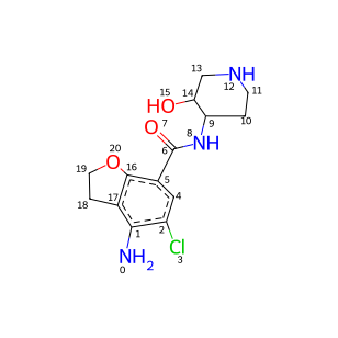 Nc1c(Cl)cc(C(=O)NC2CCNCC2O)c2c1CCO2